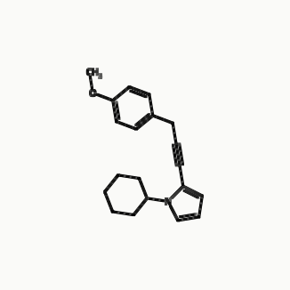 COc1ccc(CC#Cc2cccn2C2CCCCC2)cc1